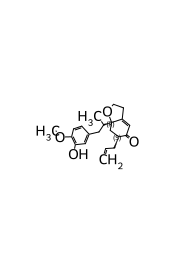 C=CC[C@H]1C[C@]2(C(C)Cc3ccc(OC)c(O)c3)OCCC2=CC1=O